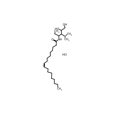 CCCCCCCC/C=C\CCCCCCCC(=O)NC(CC)C(C(O)CO)N(C)C.Cl